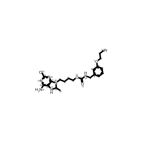 CC(C)CCOc1cccc(CNC(=O)OCCCCN2c3nc(Cl)nc(N)c3NC2C)c1